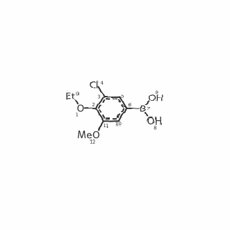 CCOc1c(Cl)cc(B(O)O)cc1OC